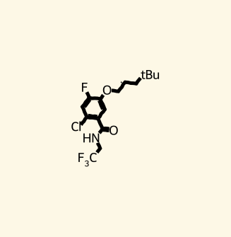 CC(C)(C)C[CH]COc1cc(C(=O)NCC(F)(F)F)c(Cl)cc1F